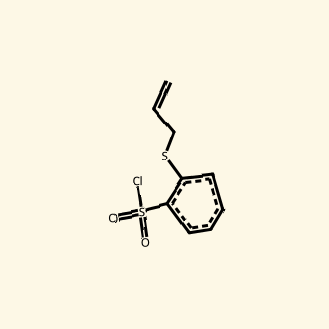 C=CCSc1ccccc1S(=O)(=O)Cl